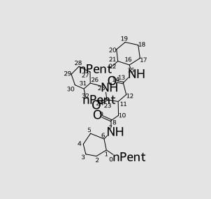 CCCCCC1CCCCC1NC(=O)CC(CC(=O)NC1CCCCC1CCCCC)C(=O)NC1CCCCC1CCCCC